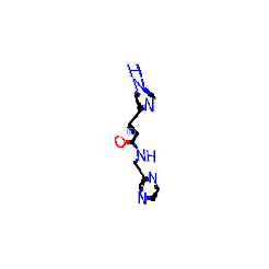 O=C(/C=C/c1c[nH]cn1)NCc1cnccn1